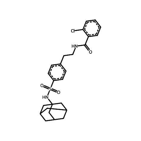 O=C(NCCc1ccc(S(=O)(=O)NC23CC4CC(CC(C4)C2)C3)cc1)c1ccccc1Cl